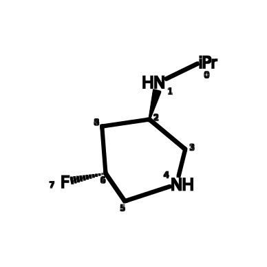 CC(C)N[C@H]1CNC[C@H](F)C1